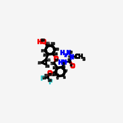 CN(N)C(=O)Nc1cccc(OC(F)F)c1COc1ccc(O)cc1C1CC1